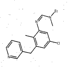 CCN(C)/C=N\c1cc(Cl)cc(Cc2cccnc2)c1C